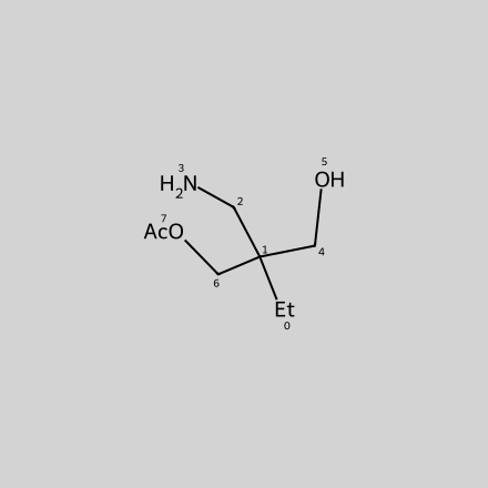 CCC(CN)(CO)COC(C)=O